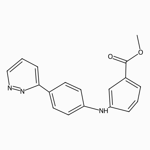 COC(=O)c1cccc(Nc2ccc(-c3cccnn3)cc2)c1